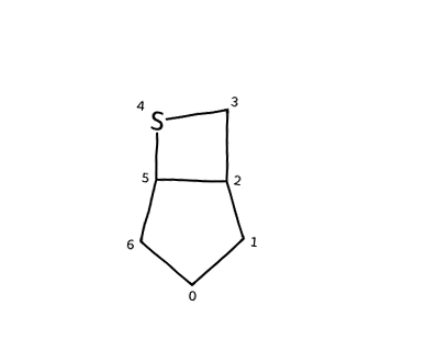 C1CC2CSC2C1